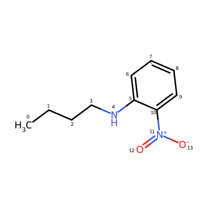 CCCCNc1c[c]ccc1[N+](=O)[O-]